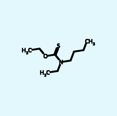 CCCCN(CC)C(=S)OCC